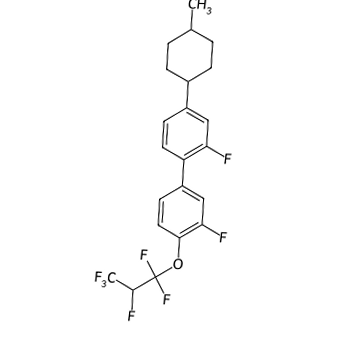 CC1CCC(c2ccc(-c3ccc(OC(F)(F)C(F)C(F)(F)F)c(F)c3)c(F)c2)CC1